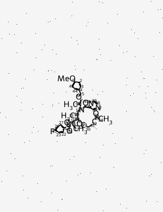 COc1ccc(COC[C@H](C)N2C[C@@H](C)[C@H](CN(C)S(=O)(=O)c3ccc(F)cc3)OCCCC[C@H](C)Oc3nccnc3C2=O)cc1